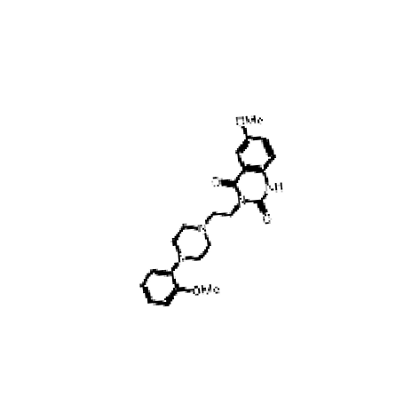 COc1ccc2[nH]c(=O)n(CCN3CCN(c4ccccc4OC)CC3)c(=O)c2c1